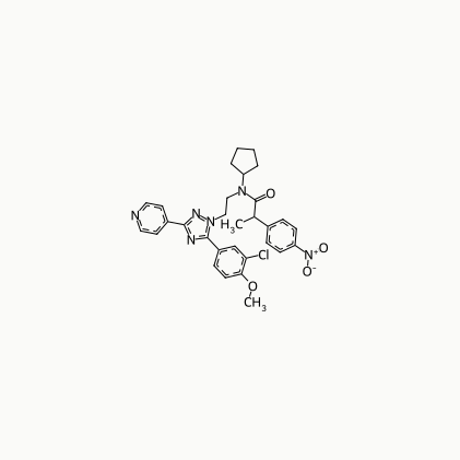 COc1ccc(-c2nc(-c3ccncc3)nn2CCN(C(=O)C(C)c2ccc([N+](=O)[O-])cc2)C2CCCC2)cc1Cl